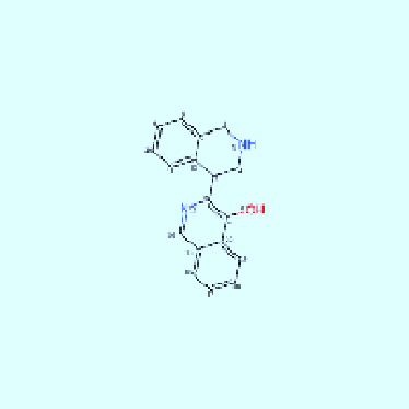 Oc1c(C2CNCc3ccccc32)ncc2ccccc12